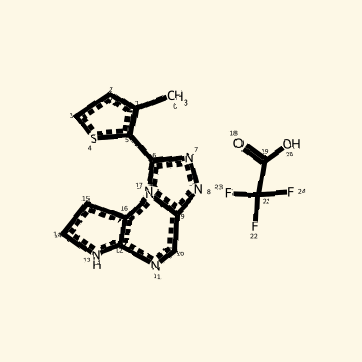 Cc1ccsc1-c1nnc2cnc3[nH]ccc3n12.O=C(O)C(F)(F)F